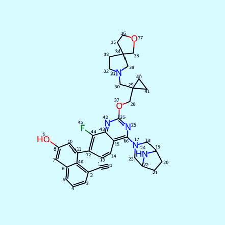 C#Cc1cccc2cc(O)cc(-c3ccc4c(N5CC6CCC(C5)N6)nc(OCC5(CN6CCC7(CCOC7)C6)CC5)nc4c3F)c12